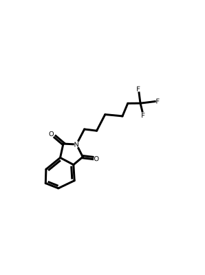 O=C1c2ccccc2C(=O)N1CCCCCC(F)(F)F